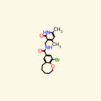 Cc1cc(C)c(CNC(=O)c2cc(Br)c3c(c2)CCCCCO3)c(=O)[nH]1